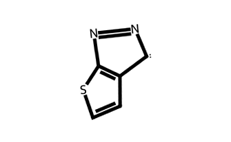 [C]1N=Nc2sccc21